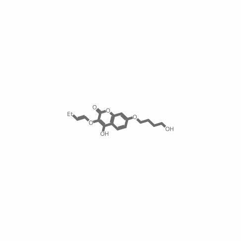 CCC=COc1c(O)c2ccc(OCCCCO)cc2oc1=O